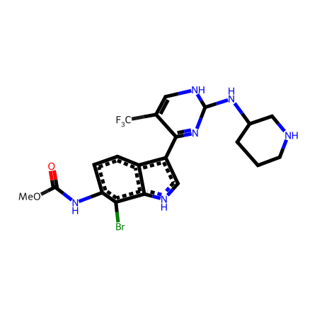 COC(=O)Nc1ccc2c(C3=NC(NC4CCCNC4)NC=C3C(F)(F)F)c[nH]c2c1Br